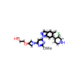 COc1nc(N2CC(OCCO)C2)cc(-n2ncc3cc(C)c(C4CCNCC4F)cc32)n1